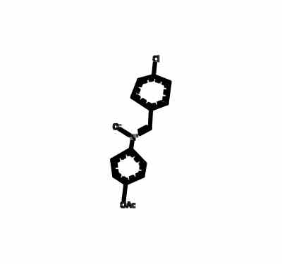 CC(=O)Oc1ccc([N+]([O-])=Cc2ccc(Cl)cc2)cc1